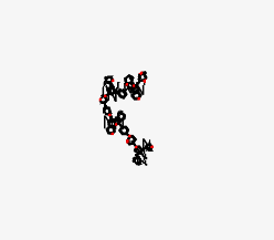 c1ccc(-c2nc(-c3cccc(-c4ccc(-c5nc6ccccc6c6c5c5ccccc5n6-c5ccc(-c6ccc(-c7cc(-c8ccccn8)nc(-c8ccccn8)c7)cc6)cc5)cc4)c3)nc(-c3cccc(-n4c5ccccc5c5c(-c6ccccc6)nc6ccccc6c54)c3)n2)cc1